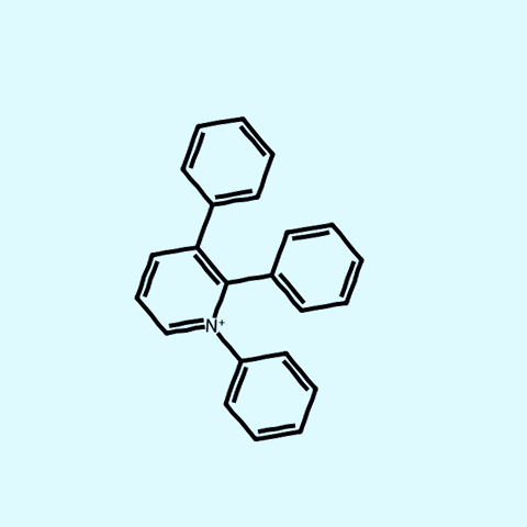 c1ccc(-c2ccc[n+](-c3ccccc3)c2-c2ccccc2)cc1